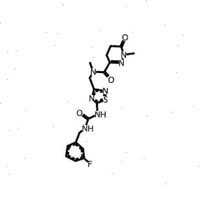 CN(Cc1nsc(NC(=O)NCc2cccc(F)c2)n1)C(=O)C1=NN(C)C(=O)CC1